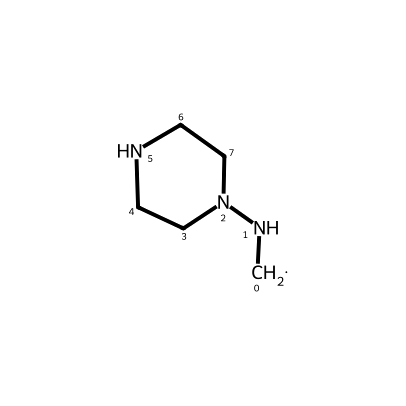 [CH2]NN1CCNCC1